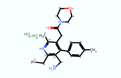 Cc1ccc(-c2c(CC(=O)N3CCOCC3)c(C)nc(CC(C)C)c2CN)cc1.Cl.Cl